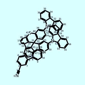 N#Cc1ccc2c(c1)c1ccccc1n2-c1cccc2c1C1(c3ccc(-n4c5ccccc5c5ccccc54)cc3S2)c2cccnc2-c2ncc(-n3c4ccccc4c4ccccc43)cc21